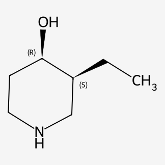 CC[C@H]1CNCC[C@H]1O